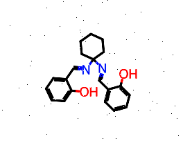 Oc1ccccc1C=NC1(/N=C/c2ccccc2O)CCCCC1